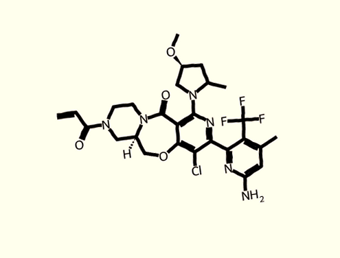 C=CC(=O)N1CCN2C(=O)c3c(N4C[C@@H](OC)CC4C)nc(-c4nc(N)cc(C)c4C(F)(F)F)c(Cl)c3OC[C@H]2C1